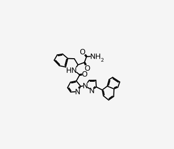 NC(=O)C(=O)C(Cc1ccccc1)NC(=O)c1cccnc1-n1ccc(-c2cccc3ccccc23)n1